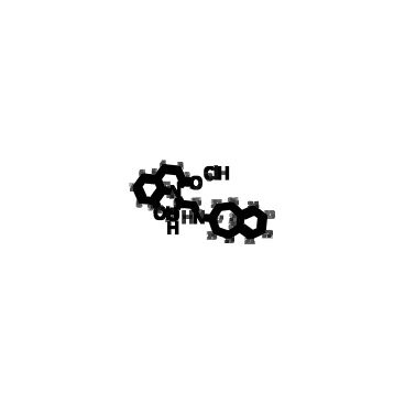 Cl.O=c1ccc2cccc(O)c2n1[C@H](O)CNC1CCc2ccccc2CC1